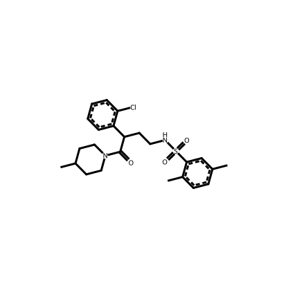 Cc1ccc(C)c(S(=O)(=O)NCCC(C(=O)N2CCC(C)CC2)c2ccccc2Cl)c1